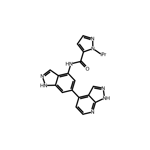 CC(C)n1nccc1C(=O)Nc1cc(-c2ccnc3[nH]ncc23)cc2[nH]ncc12